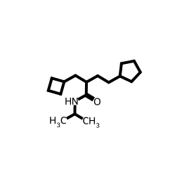 CC(C)NC(=O)C(CCC1CCCC1)CC1CCC1